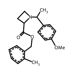 COc1ccc(C(C)N2CCC2C(=O)OCc2ccccc2C)cc1